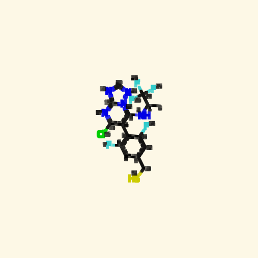 CC(Nc1c(-c2c(F)cc(CS)cc2F)c(Cl)nc2ncnn12)C(F)(F)F